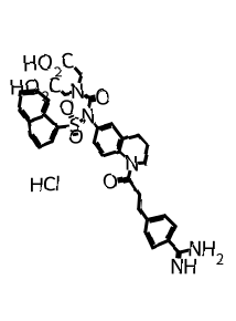 Cl.N=C(N)c1ccc(CCC(=O)N2CCCc3cc(N(C(=O)N(CC(=O)O)CC(=O)O)S(=O)(=O)c4cccc5ccccc45)ccc32)cc1